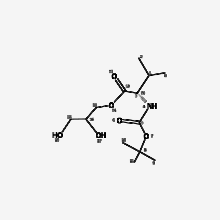 CC(C)[C@H](NC(=O)OC(C)(C)C)C(=O)OCC(O)CO